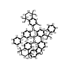 Cc1cc2c(cc1N1c3ccc(-c4ccccc4)cc3B3c4c1cc1c(c4-c4ccc5oc6ccccc6c5c4N3c3ccc4c(c3)C(C)(C)CCC4(C)C)C(C)(C)c3ccccc3-1)C(C)(C)CCC2(C)C